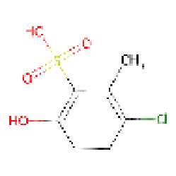 Cc1c(Cl)ccc(O)c1S(=O)(=O)O